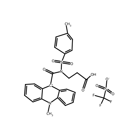 Cc1ccc(S(=O)(=O)N(CCC(=O)O)C(=O)[c+]2c3ccccc3n(C)c3ccccc32)cc1.O=S(=O)([O-])C(F)(F)F